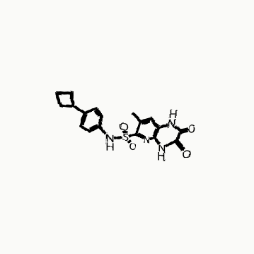 Cc1cc2[nH]c(=O)c(=O)[nH]c2nc1S(=O)(=O)Nc1ccc(C2CCC2)cc1